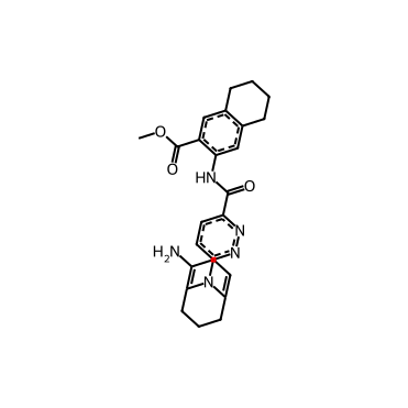 COC(=O)c1cc2c(cc1NC(=O)c1ccc(N3C4=CCC(N)=C3CCC4)nn1)CCCC2